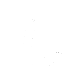 COc1ccc(S(=O)(=O)Oc2cc(OC)c(OC)c(OC)c2)cc1